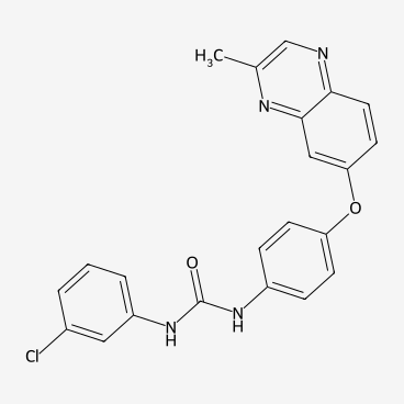 Cc1cnc2ccc(Oc3ccc(NC(=O)Nc4cccc(Cl)c4)cc3)cc2n1